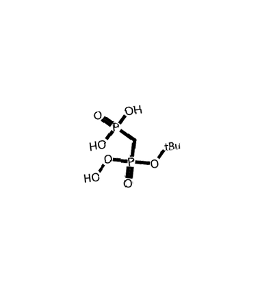 CC(C)(C)OP(=O)(CP(=O)(O)O)OO